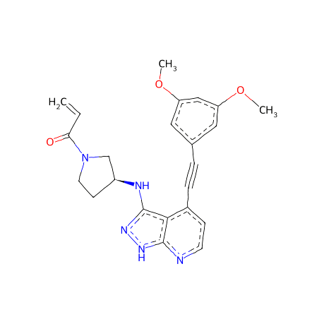 C=CC(=O)N1CC[C@H](Nc2n[nH]c3nccc(C#Cc4cc(OC)cc(OC)c4)c23)C1